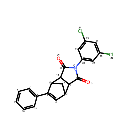 O=C1C2C3C=C(c4ccccc4)C(C3)C2C(=O)N1c1cc(Cl)cc(Cl)c1